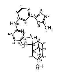 Cc1nnc(-c2cccc(Nc3ncc(Cl)c(N[C@H]4C5CC6CC4C[C@@](O)(C6)C5)n3)c2)o1